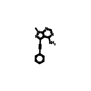 Cn1nc(C#Cc2ccccc2)c2c(N)ncnc21